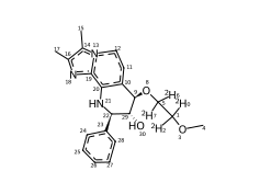 [2H]C([2H])(OC)C([2H])([2H])O[C@@H]1c2ccn3c(C)c(C)nc3c2N[C@H](c2ccccc2)[C@H]1O